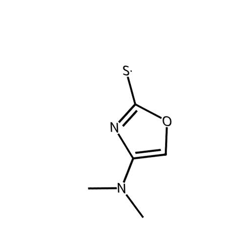 CN(C)c1coc([S])n1